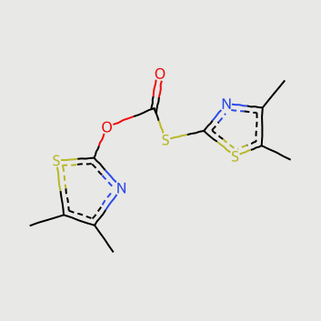 Cc1nc(OC(=O)Sc2nc(C)c(C)s2)sc1C